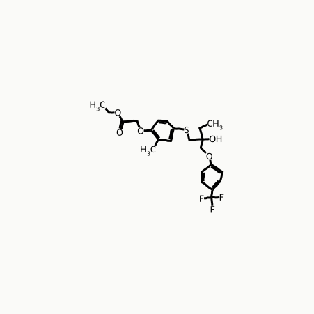 CCOC(=O)COc1ccc(SCC(O)(CC)COc2ccc(C(F)(F)F)cc2)cc1C